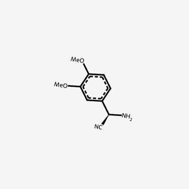 COc1ccc([C@@H](N)C#N)cc1OC